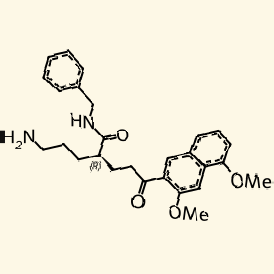 COc1cc2c(OC)cccc2cc1C(=O)CC[C@@H](CCCN)C(=O)NCc1ccccc1